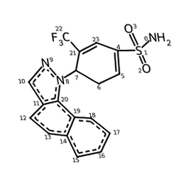 NS(=O)(=O)C1=CCC(n2ncc3ccc4ccccc4c32)C(C(F)(F)F)=C1